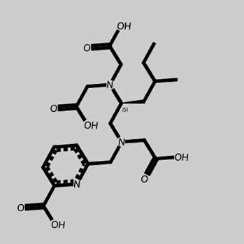 CCC(C)C[C@@H](CN(CC(=O)O)Cc1cccc(C(=O)O)n1)N(CC(=O)O)CC(=O)O